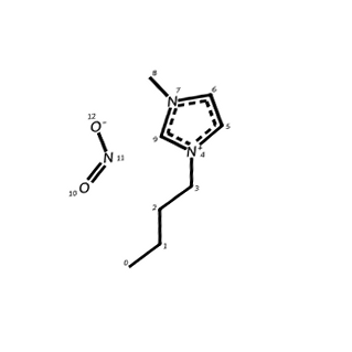 CCCC[n+]1ccn(C)c1.O=N[O-]